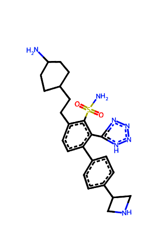 NC1CCC(CCc2ccc(-c3ccc(C4CNC4)cc3)c(-c3nnn[nH]3)c2S(N)(=O)=O)CC1